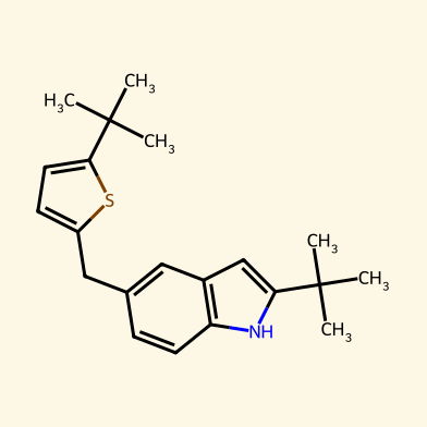 CC(C)(C)c1cc2cc(Cc3ccc(C(C)(C)C)s3)ccc2[nH]1